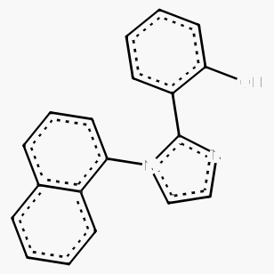 Oc1ccccc1-c1nccn1-c1cccc2ccccc12